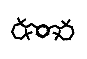 CC1(C)CCCCC(C)(C)P1Cc1cccc(CP2C(C)(C)CCCCC2(C)C)c1